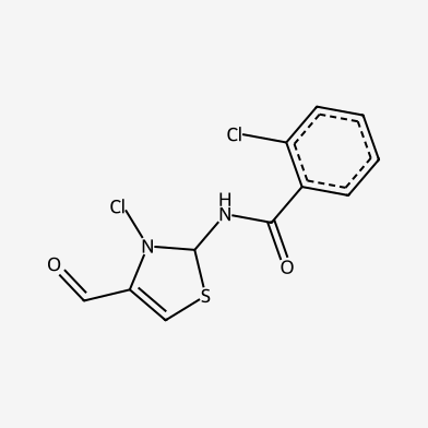 O=CC1=CSC(NC(=O)c2ccccc2Cl)N1Cl